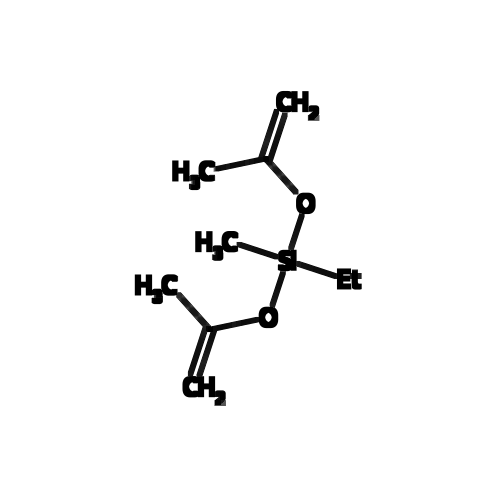 [CH2]C[Si](C)(OC(=C)C)OC(=C)C